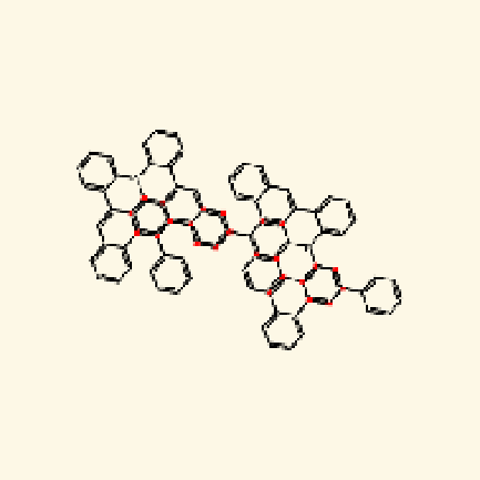 c1ccc(-c2ccc(-c3ccccc3)c(N(c3ccccc3-c3ccc4ccccc4c3)c3ccc(-c4ccc5ccc(-c6ccccc6N(c6ccc(-c7ccccc7)c(-c7ccccc7)c6)c6ccccc6-c6cc7ccccc7c7ccccc67)cc5c4)cc3-c3cc4ccccc4c4ccccc34)c2)cc1